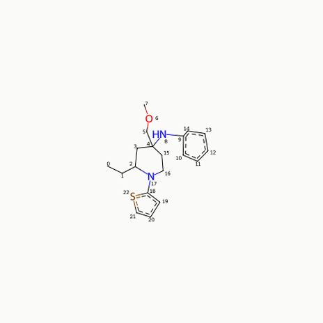 CCC1CC(COC)(Nc2ccccc2)CCN1c1cccs1